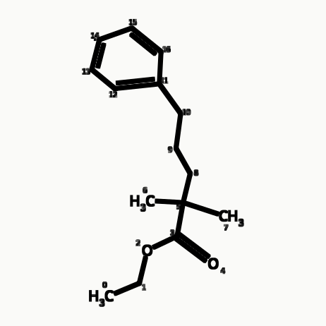 CCOC(=O)C(C)(C)CCCc1cc[c]cc1